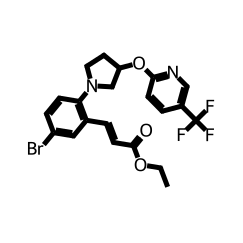 CCOC(=O)/C=C/c1cc(Br)ccc1N1CCC(Oc2ccc(C(F)(F)F)cn2)C1